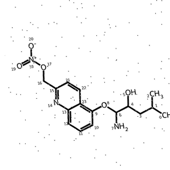 CC(C)CC(O)C(N)Oc1cccc2nc(CO[N+](=O)[O-])ccc12